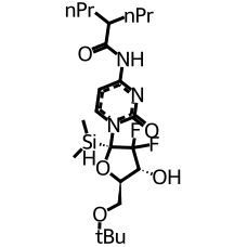 CCCC(CCC)C(=O)Nc1ccn([C@]2([SiH](C)C)O[C@H](COC(C)(C)C)[C@@H](O)C2(F)F)c(=O)n1